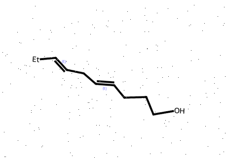 CC/C=C/C/C=C/CCCO